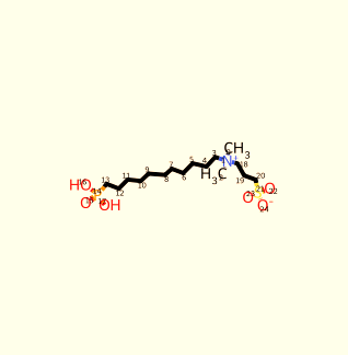 C[N+](C)(CCCCCCCCCCCP(=O)(O)O)CCCS(=O)(=O)[O-]